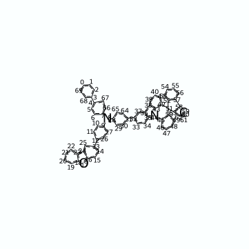 c1ccc(-c2ccc(N(c3ccc(-c4ccc5oc6ccccc6c5c4)cc3)c3ccc(-c4ccc5c(c4)c4cccc6c4n5-c4ccccc4C64c5ccccc5-c5ccccc54)cc3)cc2)cc1